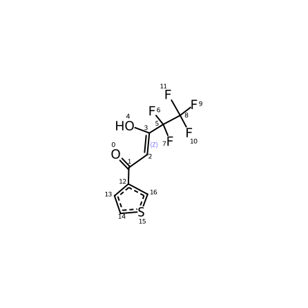 O=C(/C=C(\O)C(F)(F)C(F)(F)F)c1ccsc1